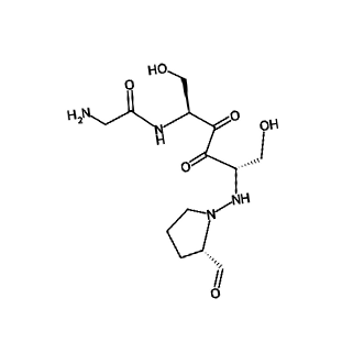 NCC(=O)N[C@@H](CO)C(=O)C(=O)[C@H](CO)NN1CCC[C@H]1C=O